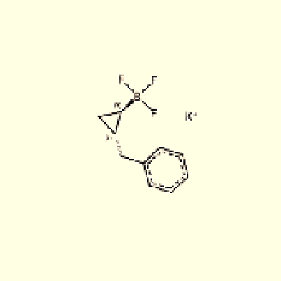 F[B-](F)(F)[C@@H]1C[C@H]1Cc1ccccc1.[K+]